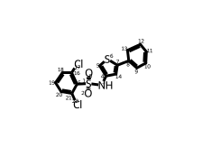 O=S(=O)(Nc1csc(-c2ccccc2)c1)c1c(Cl)cccc1Cl